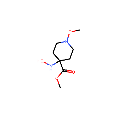 COC(=O)C1(NO)CCN(OC)CC1